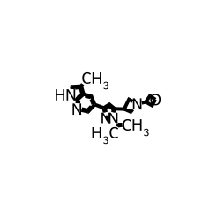 Cc1c[nH]c2ncc(-c3cc(C4CN(C5COC5)C4)n(C(C)C)n3)cc12